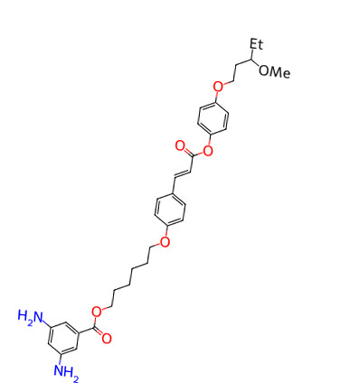 CCC(CCOc1ccc(OC(=O)/C=C/c2ccc(OCCCCCCOC(=O)c3cc(N)cc(N)c3)cc2)cc1)OC